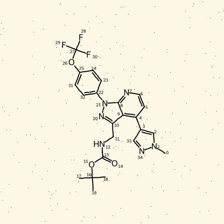 Cn1cc(-c2ccnc3c2c(CNC(=O)OC(C)(C)C)nn3-c2ccc(OC(F)(F)F)cc2)cn1